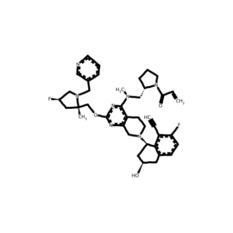 C#Cc1c(F)ccc2c1[C@H](N1CCc3c(nc(OC[C@]4(C)C[C@@H](F)CN4Cc4cccnc4)nc3N(C)C[C@@H]3CCCN3C(=O)C=C)C1)C[C@H](O)C2